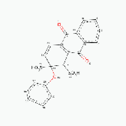 O=C1C2=C(C(=O)c3ccccc31)C(S(=O)(=O)O)C(Oc1ccccc1)(S(=O)(=O)O)C=C2